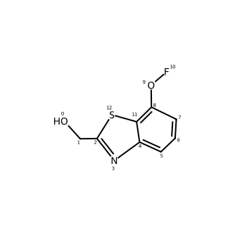 OCc1nc2cccc(OF)c2s1